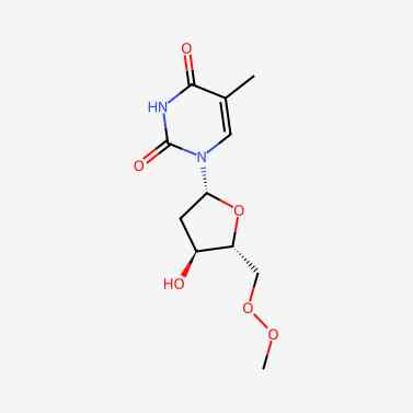 COOC[C@H]1O[C@@H](n2cc(C)c(=O)[nH]c2=O)C[C@@H]1O